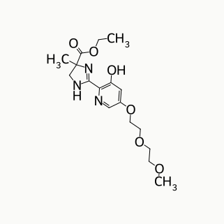 CCOC(=O)C1(C)CNC(c2ncc(OCCOCCOC)cc2O)=N1